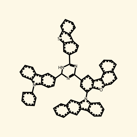 c1ccc(-n2c3ccccc3c3cc(C4N=C(c5cc(-n6c7ccccc7c7cc8ccccc8cc76)c6oc7ccc8ccccc8c7c6c5)N=C(c5ccc6c(c5)sc5ccccc56)N4)ccc32)cc1